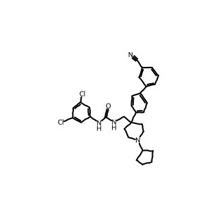 N#Cc1cccc(-c2ccc(C3(CNC(=O)Nc4cc(Cl)cc(Cl)c4)CCN(C4CCCC4)CC3)cc2)c1